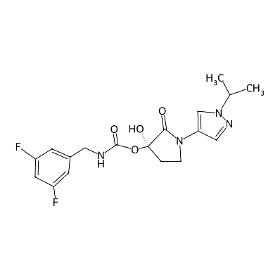 CC(C)n1cc(N2CC[C@@](O)(OC(=O)NCc3cc(F)cc(F)c3)C2=O)cn1